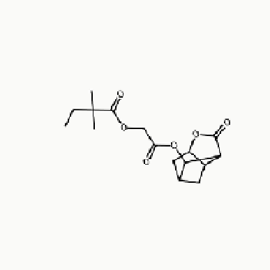 CCC(C)(C)C(=O)OCC(=O)OC1C2CC3OC(=O)C1C3C2